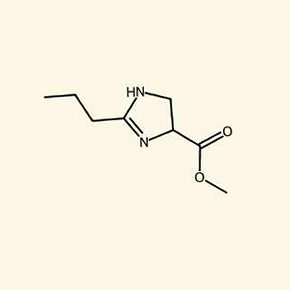 CCCC1=NC(C(=O)OC)CN1